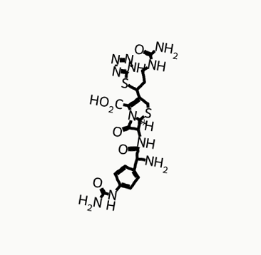 NC(=O)NCCC(Sc1nnn[nH]1)C1=C(C(=O)O)N2C(=O)C(NC(=O)C(N)c3ccc(NC(N)=O)cc3)[C@@H]2SC1